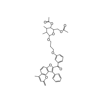 C=C1C=C(C)c2ccc3oc(C(=O)c4cccc(OCCCOC5OC(COC(C)=O)C(OC(C)=O)C(C)C5C)c4)c(-c4ccccc4)c3c2O1